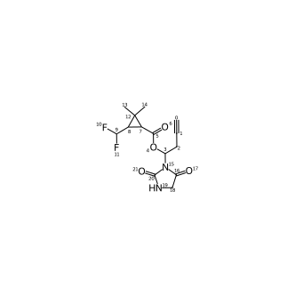 C#CCC(OC(=O)C1C(C(F)F)C1(C)C)N1C(=O)CNC1=O